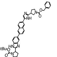 CC(C)(C)OC(=O)N1CCCC1c1nc2cc(-c3ccc4cc(-c5cnc(C6CCN(C(=O)OCc7ccccc7)C6)[nH]5)ccc4c3)ccc2[nH]1